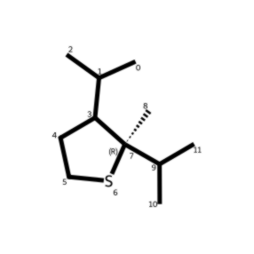 CC(C)C1CCS[C@]1(C)C(C)C